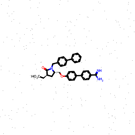 N=C(N)c1ccc(-c2ccc(OC[C@@H]3C[C@@H](CC(=O)O)C(=O)N3Cc3ccc(-c4ccccc4)cc3)cc2)cc1